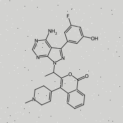 CC(c1oc(=O)c2ccccc2c1C1=CCN(C)CC1)n1nc(-c2cc(O)cc(F)c2)c2c(N)ncnc21